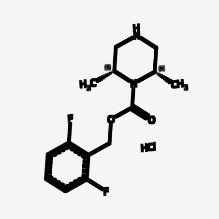 C[C@@H]1CNC[C@H](C)N1C(=O)OCc1c(F)cccc1F.Cl